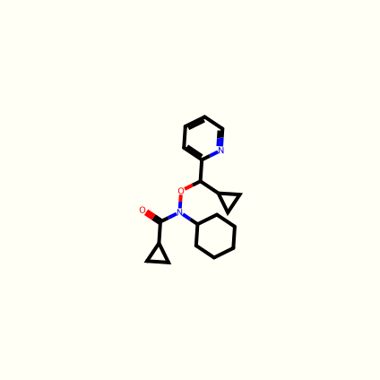 O=C(C1CC1)N(OC(c1ccccn1)C1CC1)C1CCCCC1